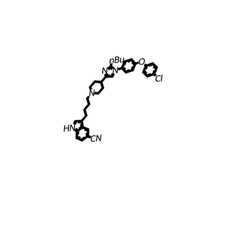 CCCCc1nc(C2CCN(CCCCc3c[nH]c4ccc(C#N)cc34)CC2)cn1-c1ccc(Oc2ccc(Cl)cc2)cc1